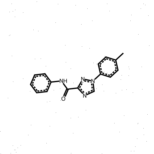 Cc1ccc(-n2cnc(C(=O)Nc3ccccc3)n2)cc1